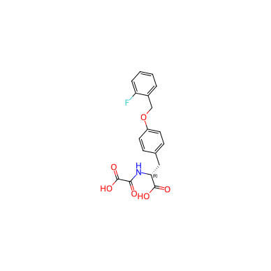 O=C(O)C(=O)N[C@H](Cc1ccc(OCc2ccccc2F)cc1)C(=O)O